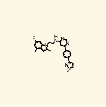 Cc1cc(F)cc2c1cc(C)n2CCNc1cc(-c2ccc(-c3ccn(C)n3)cc2)ncn1